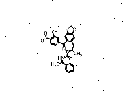 Cc1cc(C2=NN(C(=O)N[C@H](C)c3ccccc3)[C@H](C)Cc3cc4c(cc32)OCO4)ccc1[N+](=O)[O-]